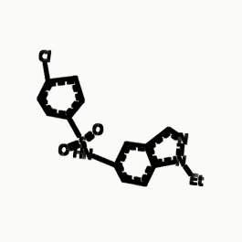 CCn1ncc2cc(NS(=O)(=O)c3ccc(Cl)cc3)ccc21